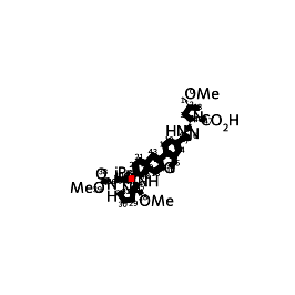 COC[C@H]1C[C@@H](c2ncc(-c3ccc4c(c3)COc3cc5c(ccc6nc([C@]7(COC)CCCN7C(=O)[C@@H](NC(=O)OC)C(C)C)[nH]c65)cc3-4)[nH]2)N(C(=O)O)C1